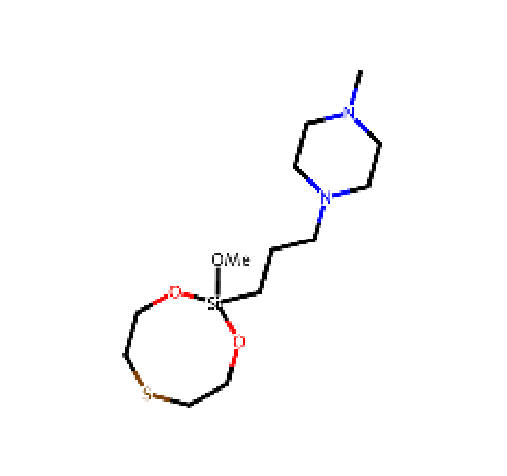 CO[Si]1(CCCN2CCN(C)CC2)OCCSCCO1